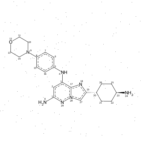 Nc1cc(Nc2ccc(N3CCOCC3)cc2)c2nc([C@H]3CC[C@H](N)CC3)cn2n1